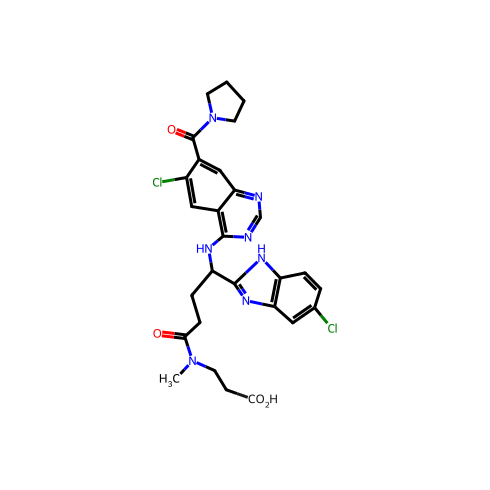 CN(CCC(=O)O)C(=O)CCC(Nc1ncnc2cc(C(=O)N3CCCC3)c(Cl)cc12)c1nc2cc(Cl)ccc2[nH]1